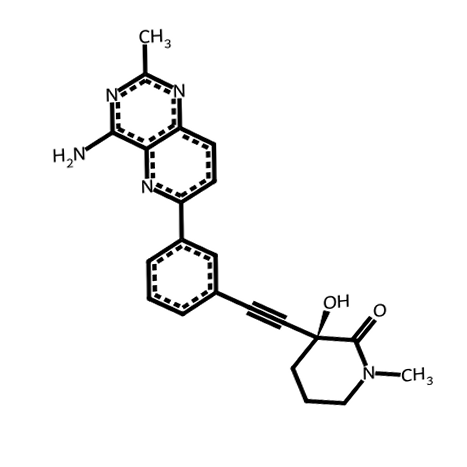 Cc1nc(N)c2nc(-c3cccc(C#C[C@@]4(O)CCCN(C)C4=O)c3)ccc2n1